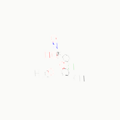 CCc1cccc(Oc2c(Cl)cccc2[C@](O)(CCCCOC)[C@@H]2CCCN(C=O)C2)c1